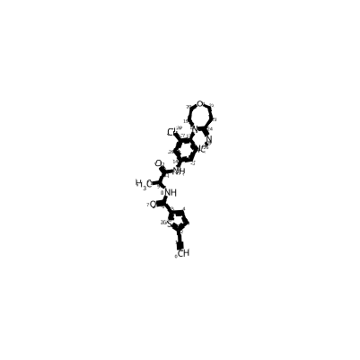 C#Cc1ccc(C(=O)NC(C)C(=O)Nc2ccc(N3CCOCCC3=NC#N)c(Cl)c2)s1